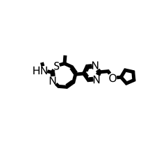 CN/C1=N/C/C=C\C(c2cnc(COC3CCCC3)nc2)=C/C(C)S1